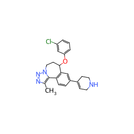 Cc1nnn2c1-c1ccc(C3=CCNCC3)cc1C(Oc1cccc(Cl)c1)CC2